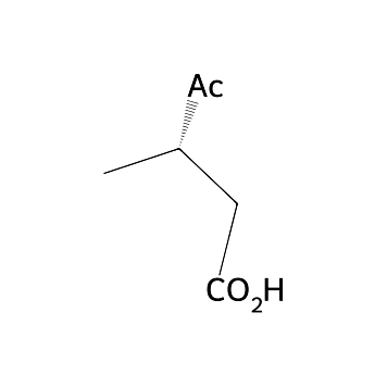 CC(=O)[C@@H](C)CC(=O)O